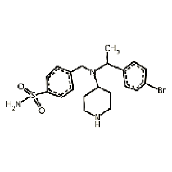 CC(c1ccc(Br)cc1)N(Cc1ccc(S(N)(=O)=O)cc1)C1CCNCC1